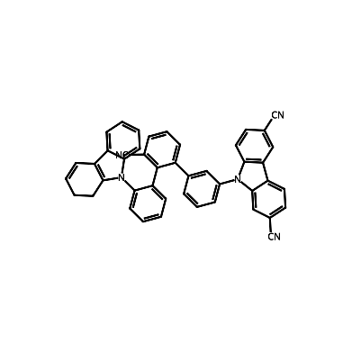 N#Cc1ccc2c(c1)c1ccc(C#N)cc1n2-c1cccc(-c2cccc(C#N)c2-c2ccccc2-n2c3c(c4ccccc42)C=CCC3)c1